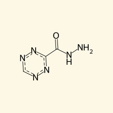 NNC(=O)c1nncnn1